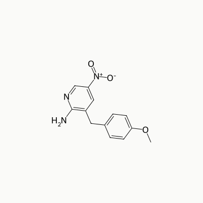 COc1ccc(Cc2cc([N+](=O)[O-])cnc2N)cc1